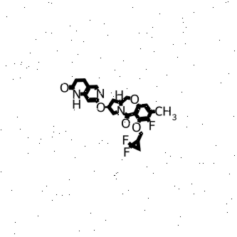 Cc1cc2c(c(OCC3CC3(F)F)c1F)C(=O)N1C[C@@H](Oc3cc4c(cn3)CCC(=O)N4)C[C@@H]1CO2